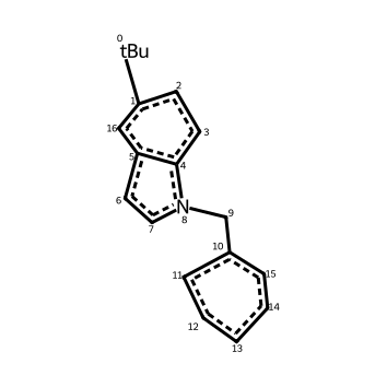 CC(C)(C)c1ccc2c(ccn2Cc2ccccc2)c1